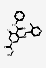 Cc1cnccc1CNC1=C(C(=N)Nc2ccccc2)C(=O)CN(C(=O)OC(C)(C)C)C1